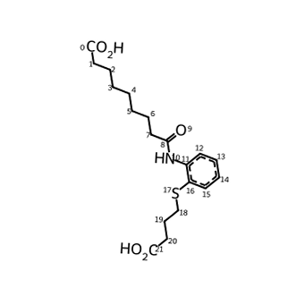 O=C(O)CCCCCCCC(=O)Nc1ccccc1SCCCC(=O)O